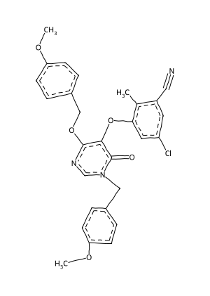 COc1ccc(COc2ncn(Cc3ccc(OC)cc3)c(=O)c2Oc2cc(Cl)cc(C#N)c2C)cc1